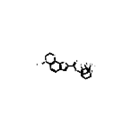 CN1CCOc2c1ccc1cc(C(=O)N[C@H]3C4CCN(CC4)C3(C)C)sc21